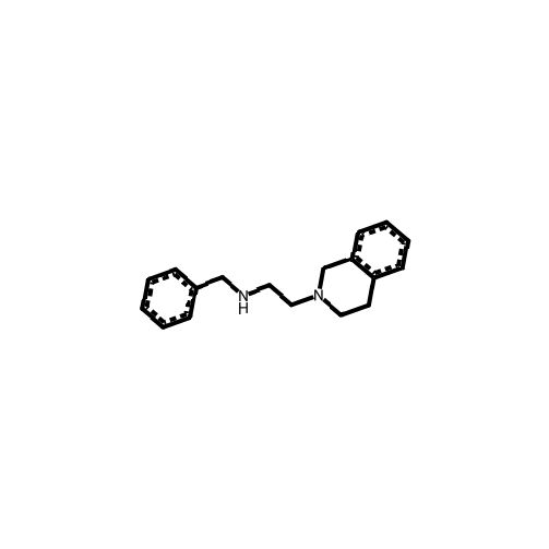 c1ccc(CNCCN2CCc3ccccc3C2)cc1